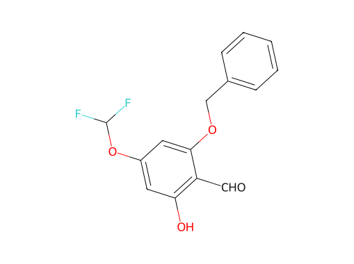 O=Cc1c(O)cc(OC(F)F)cc1OCc1ccccc1